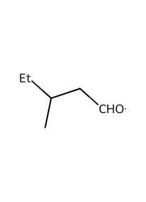 [CH2]CC(C)C[C]=O